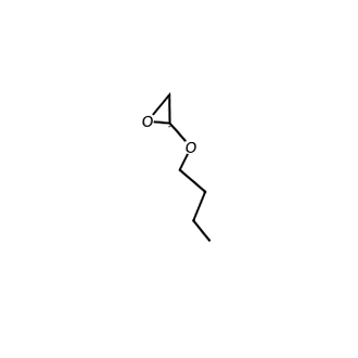 CCCCO[C]1CO1